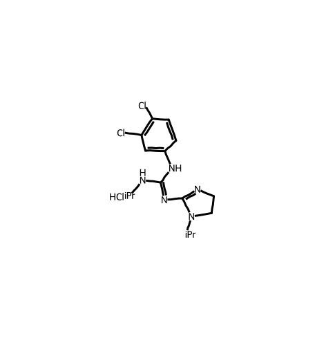 CC(C)N/C(=N/C1=NCCN1C(C)C)Nc1ccc(Cl)c(Cl)c1.Cl